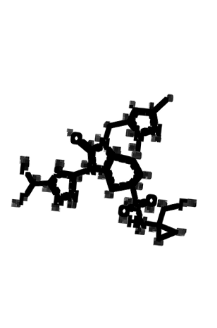 Cc1cc(Cn2c(=O)n(-c3nnc(C(F)F)s3)c3cc(S(=O)(=O)NC4(CF)CC4)ccc32)n(C)n1